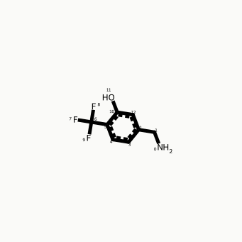 NCc1ccc(C(F)(F)F)c(O)c1